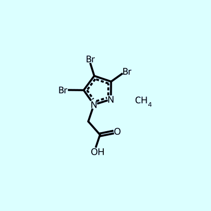 C.O=C(O)Cn1nc(Br)c(Br)c1Br